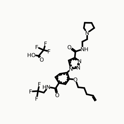 C=CCCCOc1cc(C(=O)NCC(F)(F)F)ccc1-n1cc(C(=O)NCCN2CCCC2)nn1.O=C(O)C(F)(F)F